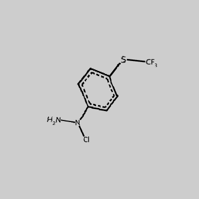 NN(Cl)c1ccc(SC(F)(F)F)cc1